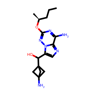 CCC[C@H](C)Oc1nc(N)c2ncc(C(O)C34CC(N)(C3)C4)n2n1